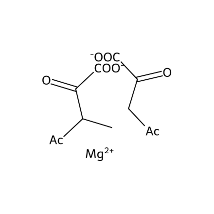 CC(=O)C(C)C(=O)C(=O)[O-].CC(=O)CC(=O)C(=O)[O-].[Mg+2]